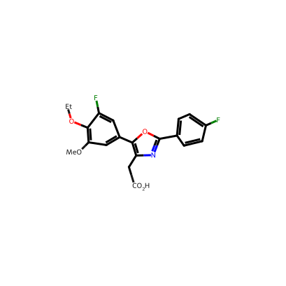 CCOc1c(F)cc(-c2oc(-c3ccc(F)cc3)nc2CC(=O)O)cc1OC